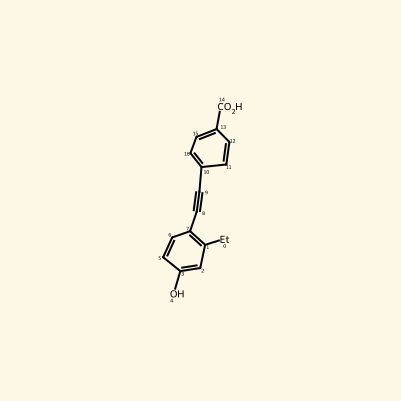 CCc1cc(O)ccc1C#Cc1ccc(C(=O)O)cc1